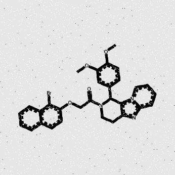 COc1ccc(C2c3c(nc4ccccn34)CCN2C(=O)COc2ccc3ccccc3c2Br)cc1OC